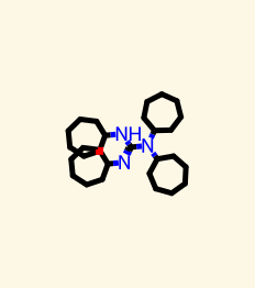 C1CCCC(N=C(NC2CCCCCC2)N(C2CCCCCC2)C2CCCCCC2)CC1